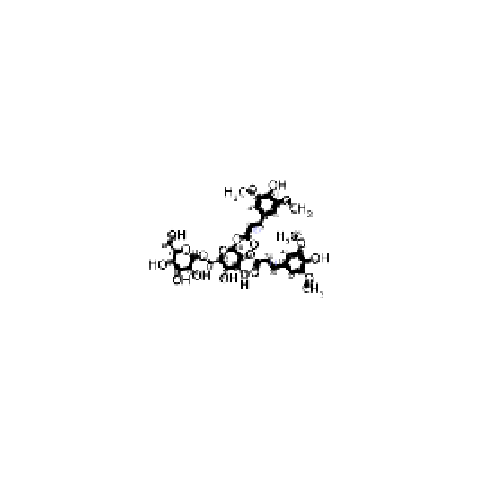 COc1cc(/C=C/C(=O)OC2O[C@H](CO[C@@H]3O[C@H](CO)[C@@H](O)[C@H](O)[C@H]3O)[C@@H](O)[C@H](O)[C@H]2OC(=O)/C=C/c2cc(OC)c(O)c(OC)c2)cc(OC)c1O